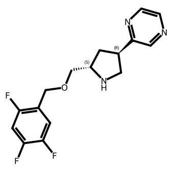 Fc1cc(F)c(COC[C@@H]2C[C@@H](c3cnccn3)CN2)cc1F